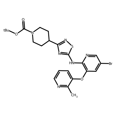 Cc1ncccc1Oc1cc(Br)cnc1Nc1nc(C2CCN(C(=O)OC(C)(C)C)CC2)ns1